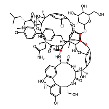 CN[C@H](CC(C)C)C(=O)N[C@H]1C(=O)N[C@@H](CC(N)=O)C(=O)N[C@H]2C(=S)N[C@H]3C(=O)N[C@H](C(=O)N[C@H](CO)c4cc(O)cc(O)c4-c4cc3ccc4O)[C@H](O)c3ccc(c(Cl)c3)Oc3cc2cc(c3O[C@@H]2OC(CO)C(O)[C@H](O)[C@H]2O[C@H]2CC(C)(NCc3ccc(-c4ccc(Cl)cc4)cc3)[C@H](O)[C@H](C)O2)Oc2ccc(cc2Cl)[C@H]1O